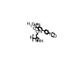 Cn1cnc2cc(-c3ccc(N4CCOCC4)cc3)nc(OCCc3c[nH]nc3C(F)(F)F)c2c1=O